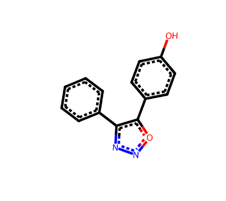 Oc1ccc(-c2onnc2-c2ccccc2)cc1